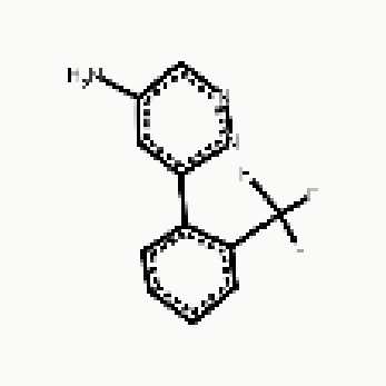 Nc1cnnc(-c2ccccc2C(F)(F)F)c1